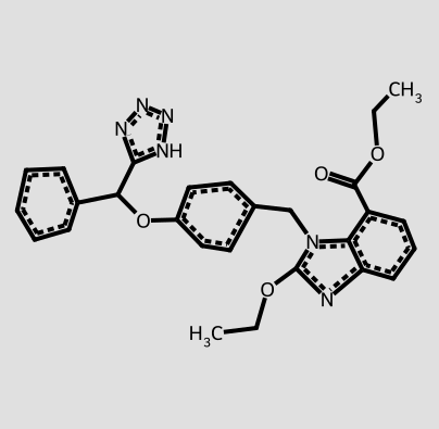 CCOC(=O)c1cccc2nc(OCC)n(Cc3ccc(OC(c4ccccc4)c4nnn[nH]4)cc3)c12